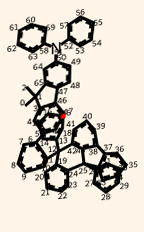 CC1(C)c2cc(-c3ccccc3C3(c4ccccc4)c4ccccc4C4(c5ccccc5)c5ccccc5-c5cccc3c54)ccc2-c2ccc(N(c3ccccc3)c3ccccc3)cc21